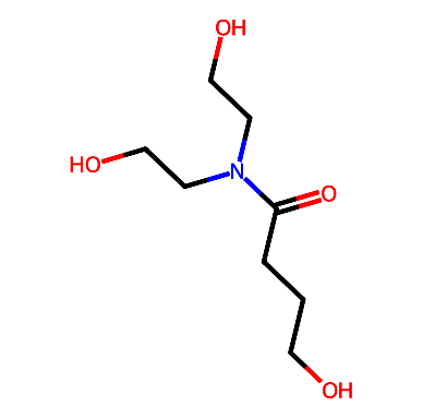 O=C(CCCO)N(CCO)CCO